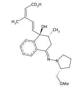 COC[C@H]1CCCN1/N=C1\C[C@@H](C)[C@@](O)(/C=C/C(C)=C\C(=O)O)c2ccccc21